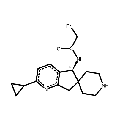 CC(C)C[S+]([O-])N[C@@H]1c2ccc(C3CC3)nc2CC12CCNCC2